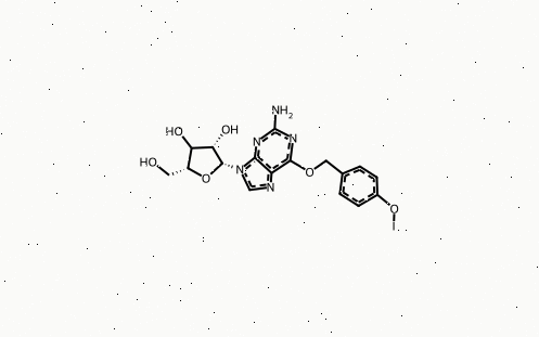 Nc1nc(OCc2ccc(OI)cc2)c2ncn([C@@H]3O[C@H](CO)C(O)[C@@H]3O)c2n1